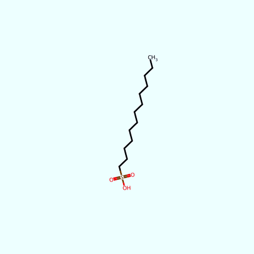 CCCCCCCCCCCCCS(=O)(=O)O